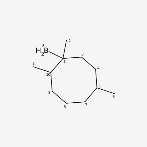 BC1(C)CCC(C)CCCC1C